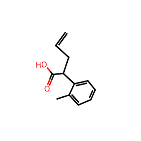 C=CCC(C(=O)O)c1ccccc1C